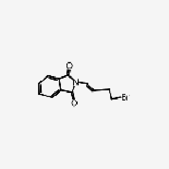 O=C1c2ccccc2C(=O)N1C=CCCBr